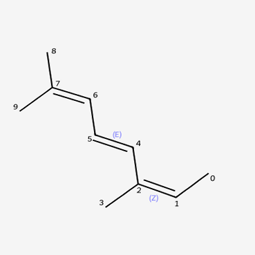 C/C=C(C)\C=C\C=C(C)C